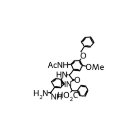 COc1cc([C@H](Nc2ccc(C(=N)N)cc2)C(=O)NC(C(=O)O)c2ccccc2)c(NC(C)=O)cc1OCc1ccccc1